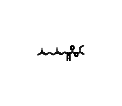 CCC(C)OC(=O)NC/C=C(\C)CCC=C(C)C